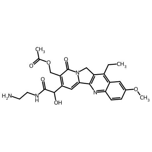 CCc1c2c(nc3ccc(OC)cc13)-c1cc(C(O)C(=O)NCCN)c(COC(C)=O)c(=O)n1C2